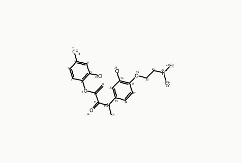 C=C(Oc1ccc(C(F)(F)F)cc1Cl)C(=O)N(C)c1ccc(OCCN(CC)CC)c(Cl)c1